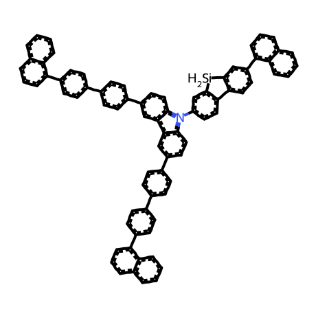 c1ccc2c(-c3ccc(-c4ccc(-c5ccc6c(c5)c5cc(-c7ccc(-c8ccc(-c9cccc%10ccccc9%10)cc8)cc7)ccc5n6-c5ccc6c(c5)[SiH2]c5cc(-c7cccc8ccccc78)ccc5-6)cc4)cc3)cccc2c1